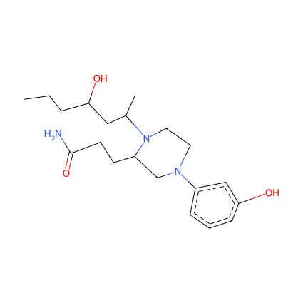 CCCC(O)CC(C)N1CCN(c2cccc(O)c2)CC1CCC(N)=O